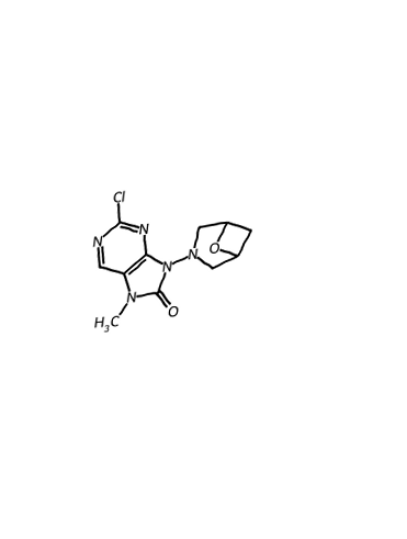 Cn1c(=O)n(N2CC3CC(C2)O3)c2nc(Cl)ncc21